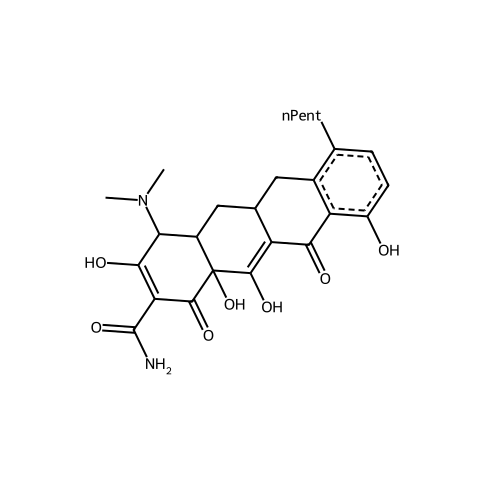 CCCCCc1ccc(O)c2c1CC1CC3C(N(C)C)C(O)=C(C(N)=O)C(=O)C3(O)C(O)=C1C2=O